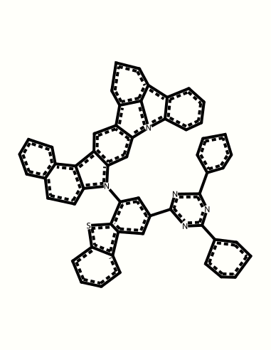 c1ccc(-c2nc(-c3ccccc3)nc(-c3cc(-n4c5cc6c(cc5c5c7ccccc7ccc54)c4cccc5c7ccccc7n6c54)c4sc5ccccc5c4c3)n2)cc1